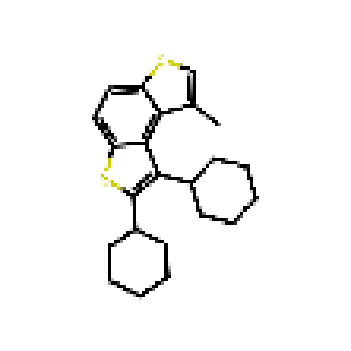 Cc1csc2ccc3sc(C4CCCCC4)c(C4CCCCC4)c3c12